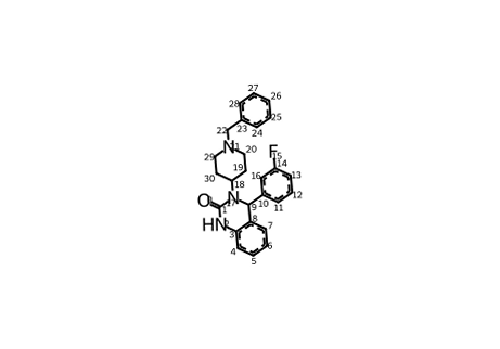 O=C1Nc2ccccc2C(c2cccc(F)c2)N1C1CCN(Cc2ccccc2)CC1